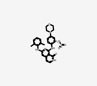 Cc1cccc(C)c1Nc1cc2cc[nH]c(=O)c2c(Nc2ccc(N3CCOCC3)cc2)n1.N[SH](=O)=O